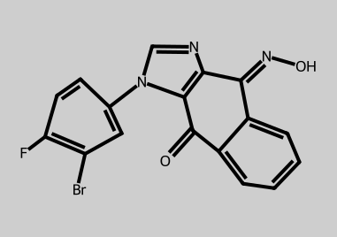 O=C1c2ccccc2/C(=N\O)c2ncn(-c3ccc(F)c(Br)c3)c21